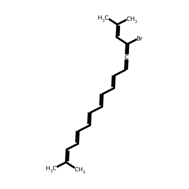 CC(C)=CC=CC=CC=CC=CC=C=C(Br)C=C(C)C